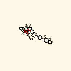 CCCCOC(=O)CN1C2CCC1CC(N1CCN(C(=O)[C@@H](Cc3cc(Cl)c(N)c(C(F)(F)F)c3)OC(=O)N3CCC(N4CCc5ccccc5NC4=O)CC3)CC1)C2